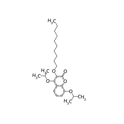 CCCCCCCCCCOc1c(OC(C)C)c2cccc(OC(C)C)c2oc1=O